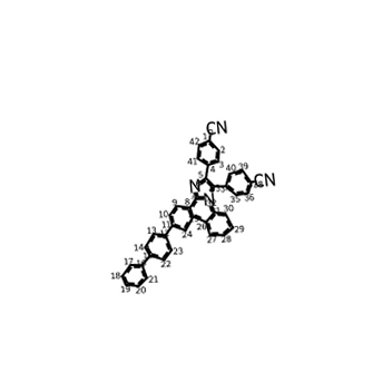 N#Cc1ccc(-c2nc3c4ccc(-c5ccc(-c6ccccc6)cc5)cc4c4ccccc4n3c2-c2ccc(C#N)cc2)cc1